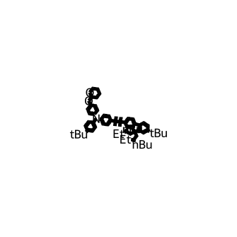 CCCCC(CC)CC1(CC(CC)CCCC)c2cc(C(C)(C)C)ccc2-c2ccc(C(C)(C)C(C)(C)c3ccc(N(c4ccc(OC5CCCCO5)cc4)c4ccc(C(C)(C)C)cc4)cc3)cc21